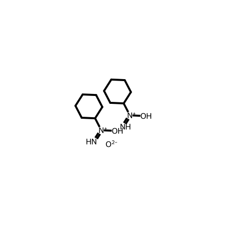 N=[N+](O)C1CCCCC1.N=[N+](O)C1CCCCC1.[O-2]